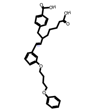 O=C(O)CCCCC(/C=C/c1cccc(OCCCCOc2ccccc2)c1)Cc1ccc(C(=O)O)cc1